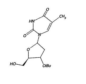 Cc1cn(C2CC(OCC(C)C)[C@@H](CO)O2)c(=O)[nH]c1=O